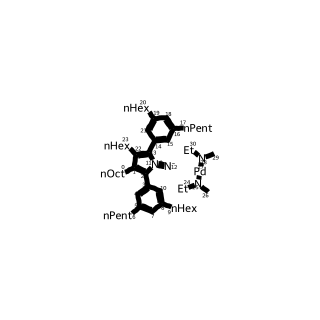 CCCCCCCCC1=C(c2cc(CCCCC)cc(CCCCCC)c2)[N+](=[N-])C(c2cc(CCCCC)cc(CCCCCC)c2)=C1CCCCCC.CC[N](C)[Pd][N](C)CC